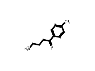 Cc1ccc(C(=O)CCCN)cc1